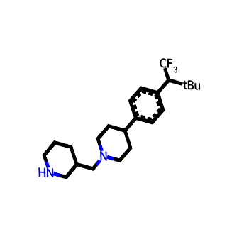 CC(C)(C)C(c1ccc(C2CCN(CC3CCCNC3)CC2)cc1)C(F)(F)F